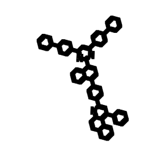 c1ccc(-c2ccc(-c3cc(-c4ccc(-c5ccccc5)cc4)nc(-c4ccc(-c5ccc(-c6cc(-c7ccccc7)c7c(ccc8ccccc87)n6)cc5)c5ccccc45)n3)cc2)cc1